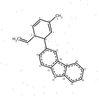 C=CN1C=CC(C)=CC1c1ccc2sc3ccccc3c2c1